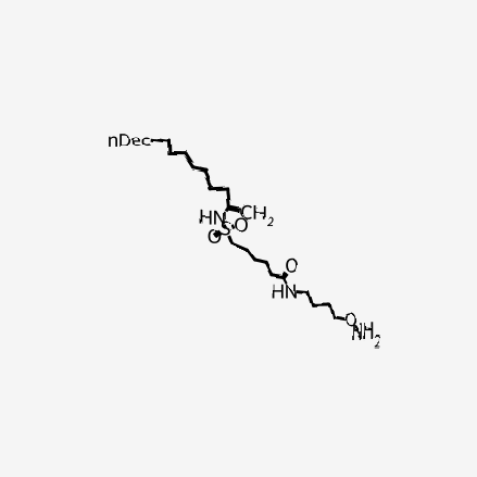 C=C(CCCCCCCCCCCCCCCCC)NS(=O)(=O)CCCCCC(=O)NCCCCON